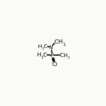 CN(C)P(C)(C)=O